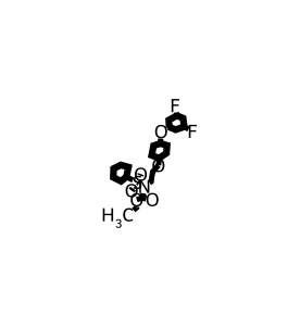 CCOC(=O)N(CCOc1ccc(Oc2cc(F)cc(F)c2)cc1)S(=O)(=O)c1ccccc1